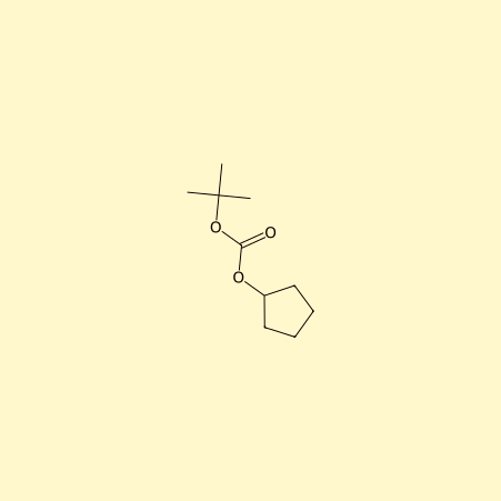 CC(C)(C)OC(=O)OC1CCCC1